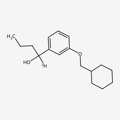 [2H]C(O)(CCC)c1cccc(OCC2CCCCC2)c1